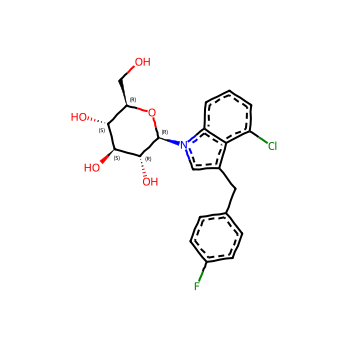 OC[C@H]1O[C@@H](n2cc(Cc3ccc(F)cc3)c3c(Cl)cccc32)[C@H](O)[C@@H](O)[C@@H]1O